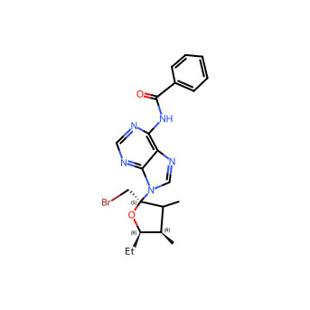 CC[C@H]1O[C@@](CBr)(n2cnc3c(NC(=O)c4ccccc4)ncnc32)C(C)[C@H]1C